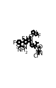 CC(C)C1N(C(=O)n2cnc(Cl)n2)CC12CCN(c1nc(OC[C@@]34CCCN3C[C@H](F)C4)nc3c(F)c(-c4ccc(F)c5sc(N)c(C#N)c45)c(Cl)cc13)C2